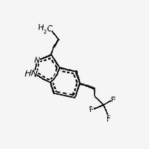 CCc1n[nH]c2ccc(CC(F)(F)F)cc12